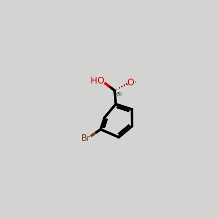 [O][C@@H](O)c1cccc(Br)c1